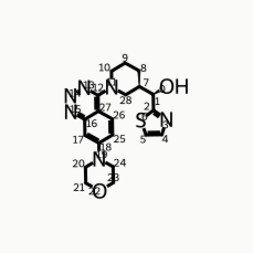 O[C@@H](c1nccs1)[C@@H]1CCCN(c2nnnc3cc(N4CCOCC4)ccc23)C1